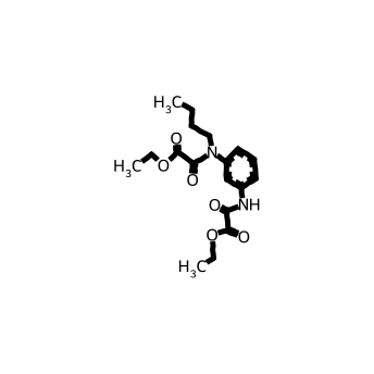 CCCCN(C(=O)C(=O)OCC)c1cccc(NC(=O)C(=O)OCC)c1